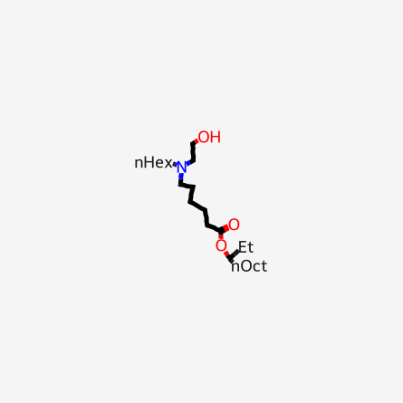 CCCCCCCCC(CC)OC(=O)CCCCCN(CCO)CCCCCC